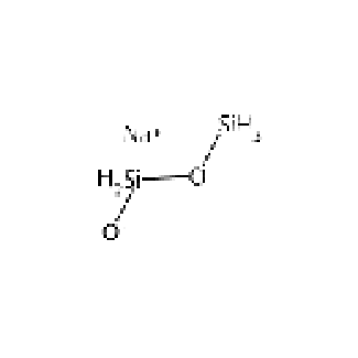 [Na+].[O-][SiH2]O[SiH3]